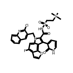 C[Si](C)(C)CCS(=O)(=O)NC(=O)c1c(-c2ccc[nH]c2=O)c2c3occc3c(F)cc2n1Cc1cc2ccccc2nc1Cl